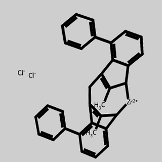 CC1=C2CC3=C(C)[CH]([Zr+2][CH]1c1cccc(-c4ccccc4)c12)c1cccc(-c2ccccc2)c13.[Cl-].[Cl-]